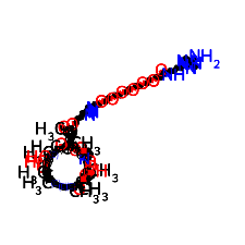 CO[C@H]1C[C@@H]2CC[C@@H](C)[C@@](O)(O2)C(=O)C(=O)N2CCCC[C@H]2C(=O)O[C@H]([C@H](C)C[C@@H]2CC[C@@H](OCCCCc3cn(CCOCCOCCOCCOCCOCCOCCC(=O)NCCCCn4ncc5c(N)ncnc54)nn3)[C@H](OC)C2)CC(=O)[C@H](C)/C=C(\C)[C@@H](O)[C@@H](O)C(=O)[C@H](C)C[C@H](C)/C=C/C=C/C=C/1C